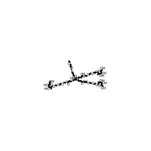 CCOCCOCCOCCC(=O)NC(COCCC(=O)NCCOCCOCCOC1OC(CO)C(O)C(O)C1C)(COCCC(=O)NCCOCCOCCOC1OC(CO)C(O)C(O)C1C)COCCC(=O)NCCOCCOCCOC1OC(CO)C(O)C(O)C1C